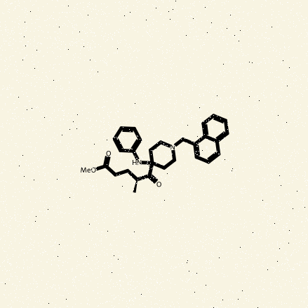 COC(=O)CC[C@H](C)C(=O)C1(Nc2ccccc2)CCN(Cc2cccc3ccccc23)CC1